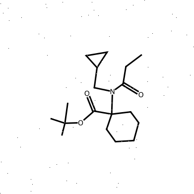 CCC(=O)N(CC1CC1)C1(C(=O)OC(C)(C)C)CCCCC1